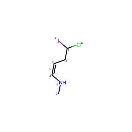 CN/C=C\CC(Cl)I